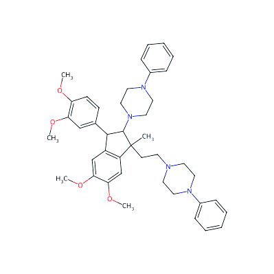 COc1ccc(C2c3cc(OC)c(OC)cc3C(C)(CCN3CCN(c4ccccc4)CC3)C2N2CCN(c3ccccc3)CC2)cc1OC